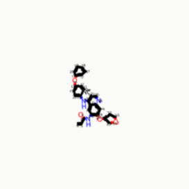 C=CC(=O)Nc1cc2c(Nc3ccc(Oc4ccccc4)cc3)c(C#N)cnc2cc1OC1CCOC1